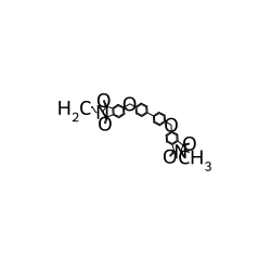 C=CCN1C(=O)c2ccc(Oc3ccc(-c4ccc(Oc5ccc6c(c5)C(=O)N(C)C6=O)cc4)cc3)cc2C1=O